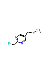 CCCc1cnc(CF)nc1